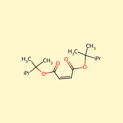 CC(C)C(C)(C)OC(=O)/C=C\C(=O)OC(C)(C)C(C)C